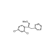 CON=C(Cc1cccnc1)c1ccc(Cl)cc1Cl